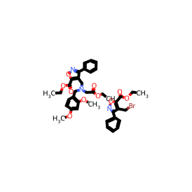 CCOC(=O)CN(Cc1ccc(OC)cc1OC)Cc1c(-c2ccccc2)noc1C(=O)OCC.CCOC(=O)c1onc(-c2ccccc2)c1CBr